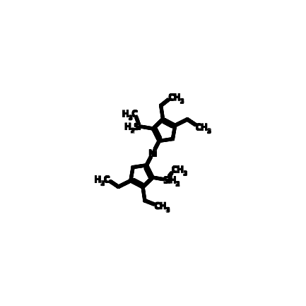 CCC1=C(CC)C([SiH2]C)=[C]([Ni][C]2=C([SiH2]C)C(CC)=C(CC)C2)C1